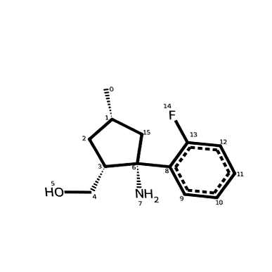 C[C@H]1C[C@@H](CO)[C@](N)(c2ccccc2F)C1